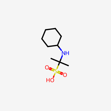 CC(C)(NC1CCCCC1)S(=O)(=O)O